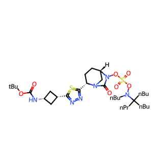 CCCCN(OS(=O)(=O)ON1C(=O)N2C[C@@H]1CC[C@H]2c1nnc([C@H]2C[C@@H](NC(=O)OC(C)(C)C)C2)s1)C(CCC)(CCCC)CCCC